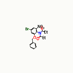 CCC(=O)N(C(=O)CC)c1c(OCc2ccccc2)cc(Br)cc1[N+](=O)[O-]